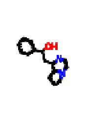 OC(Cc1nccn2cccc12)c1ccccc1